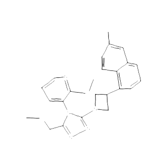 COCc1nnc(N2CC(c3cccc4cc(F)ccc34)C2)n1-c1cccnc1OC